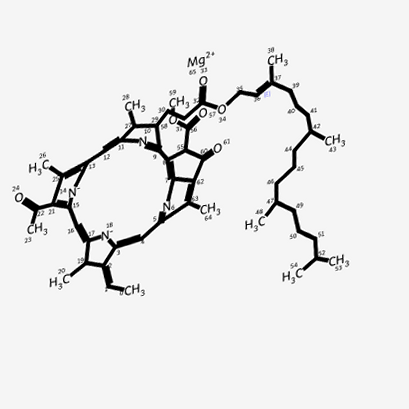 CC=C1c2cc3nc4c(c5nc(cc6[n-]c(cc([n-]2)C1C)c(C(C)=O)c6C)C(C)C5CCC(=O)OC/C=C(\C)CCCC(C)CCCC(C)CCCC(C)C)C(C(=O)OC)C(=O)C4=C3C.[Mg+2]